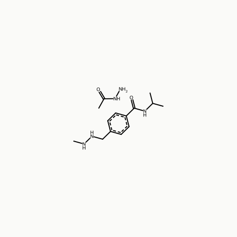 CC(=O)NN.CNNCc1ccc(C(=O)NC(C)C)cc1